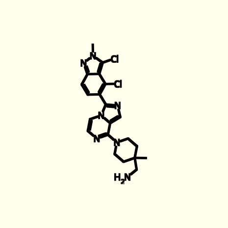 Cn1nc2ccc(-c3ncc4c(N5CCC(C)(CN)CC5)nccn34)c(Cl)c2c1Cl